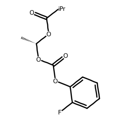 CC(C)C(=O)O[C@@H](C)OC(=O)Oc1ccccc1F